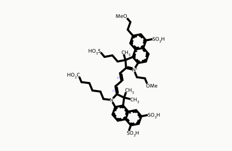 COCCc1cc(S(=O)(=O)O)c2ccc3c(c2c1)C(C)(CCCS(=O)(=O)O)C(/C=C/C=C1/N(CCCCCC(=O)O)c2ccc4c(S(=O)(=O)O)cc(S(=O)(=O)O)cc4c2C1(C)C)=[N+]3CCOC